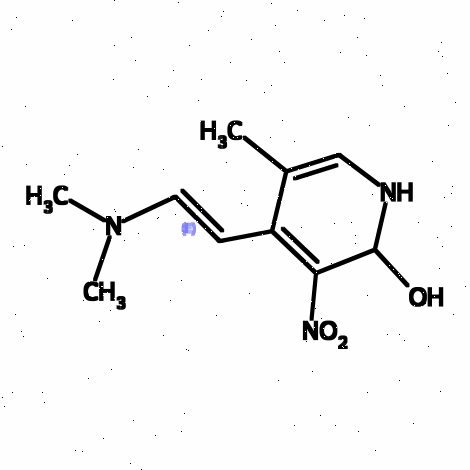 CC1=CNC(O)C([N+](=O)[O-])=C1/C=C/N(C)C